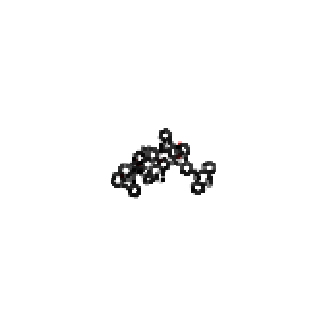 c1ccc2c(c1)Sc1ccccc1N2c1ccc2c(c1)c1ccccc1n2-c1ccc2c(c1)Oc1cccc(-n3c4ccccc4c4ccccc43)c1C21c2cc(-n3c4ccccc4c4ccccc43)cnc2-c2ncc(-n3c4ccccc4c4ccccc43)cc21